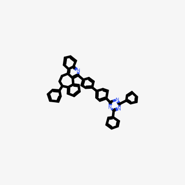 c1ccc(-c2nc(-c3ccccc3)nc(-c3ccc(-c4ccc(-c5nc6ccccc6c6c5-c5ccccc5C(c5ccccc5)CC6)cc4)cc3)n2)cc1